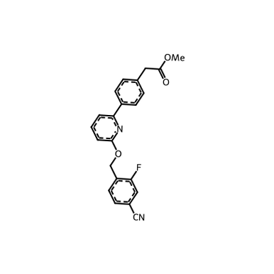 COC(=O)Cc1ccc(-c2cccc(OCc3ccc(C#N)cc3F)n2)cc1